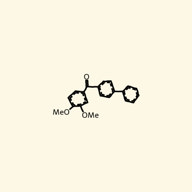 COc1ccc(C(=O)c2ccc(-c3ccccc3)cc2)cc1OC